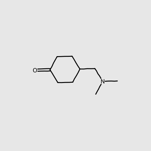 CN(C)CC1CCC(=O)CC1